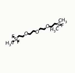 C[Si](C)(F)CCOCCOCCOCC[Si](C)(F)F